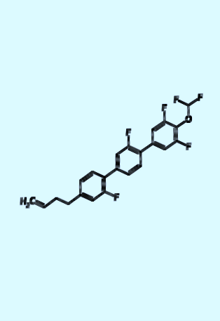 C=CCCc1ccc(-c2ccc(-c3cc(F)c(OC(F)F)c(F)c3)c(F)c2)c(F)c1